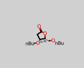 CCCCOC[C@H]1OC(=O)C[C@@H]1OCCCC